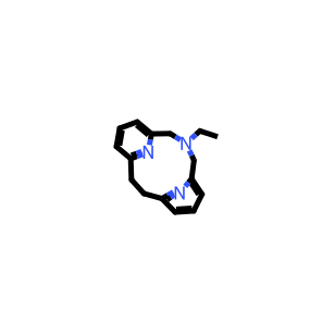 CCN1Cc2cccc(n2)CCc2cccc(n2)C1